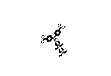 CC[N+](CC)(CC)CC.CC[N+](CC)(CC)CC.O=C([O-])c1ccc([S+]([O-])c2ccc(C(=O)[O-])cc2)cc1